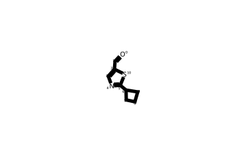 O=Cc1cnc(C2CCC2)s1